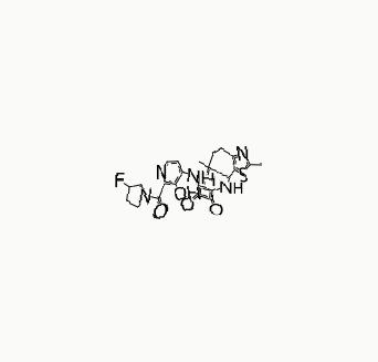 Cc1nc2c(s1)C(Nc1c(Nc3ccnc(C(=O)N4CCC(F)C4)c3O)c(=O)c1=O)C(C)(C)CC2